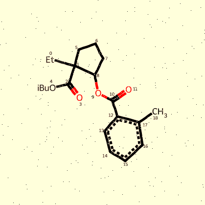 CCC1(C(=O)OCC(C)C)CCCC1OC(=O)c1ccccc1C